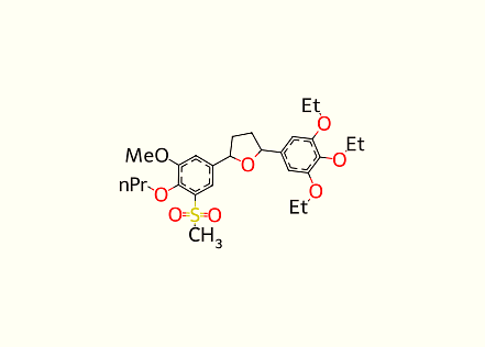 CCCOc1c(OC)cc(C2CCC(c3cc(OCC)c(OCC)c(OCC)c3)O2)cc1S(C)(=O)=O